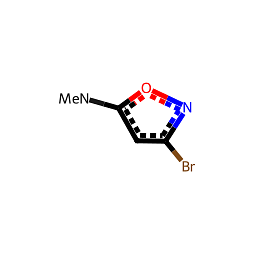 CNc1cc(Br)no1